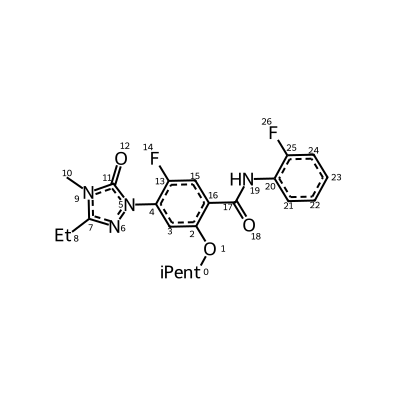 CCCC(C)Oc1cc(-n2nc(CC)n(C)c2=O)c(F)cc1C(=O)Nc1ccccc1F